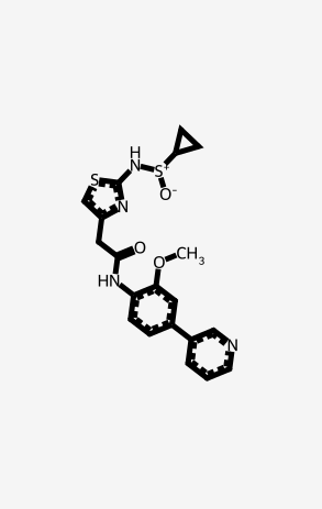 COc1cc(-c2cccnc2)ccc1NC(=O)Cc1csc(N[S+]([O-])C2CC2)n1